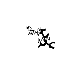 CCC(CC)c1cc(C)nn2c(-c3sc(NCCOC)nc3C)c(C)nc12